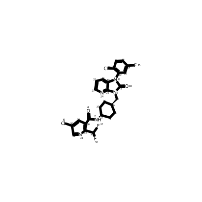 O=C(N[C@H]1CC[C@H](Cn2c(=O)n(-c3cc(F)ccc3Cl)c3cccnc32)CC1)c1cc(Cl)cnc1C(F)F